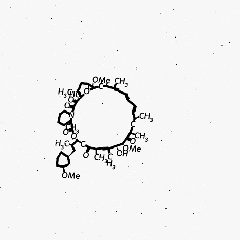 COC1C(=O)[C@H](C)C[C@H](C)/C=C/C=C/C=C(\C)[C@@H](OC)C[C@@H]2CC[C@@H](C)[C@@](O)(O2)C(=O)C(=O)N2CCCCC2(C)C(=O)O[C@H]([C@H](C)C[C@@H]2CCC[C@H](OC)C2)CC(=O)[C@H](C)/C=C(\C)[C@H]1O